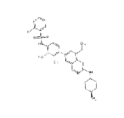 CCc1cc(-c2ccc(NS(=O)(=O)c3ccccc3Cl)c(C)c2C)cc2cnc(N[C@H]3CC[C@H](N)CC3)nc12